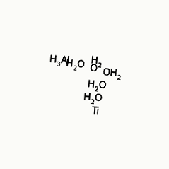 O.O.O.O.O.[AlH3].[Ti]